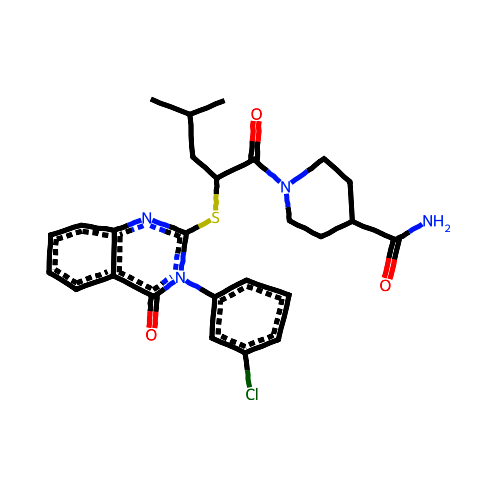 CC(C)CC(Sc1nc2ccccc2c(=O)n1-c1cccc(Cl)c1)C(=O)N1CCC(C(N)=O)CC1